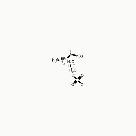 CCCCNCCCC.O.O.O.O.O.O=S(=O)([O-])[O-].[Cu+2]